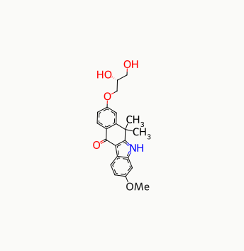 COc1ccc2c3c([nH]c2c1)C(C)(C)c1cc(OC[C@H](O)CO)ccc1C3=O